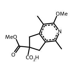 COC(=O)C1(C(=O)O)Cc2c(C)nc(OC)c(C)c2C1